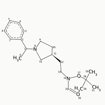 CC(c1ccccc1)N1CC[C@@H](CCN(C=O)OC(C)(C)C)C1